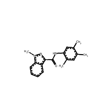 Cc1cc(C)c(NC(=O)c2nn(C)c3ccccc23)cc1C